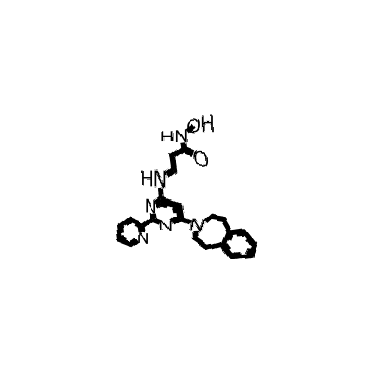 O=C(CCNc1cc(N2CCc3ccccc3CC2)nc(-c2ccccn2)n1)NO